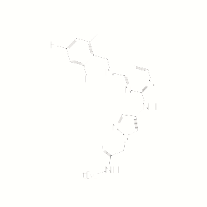 CC(C)(C)NC(=O)Cn1cc(Nc2nccc(NCc3c(F)cc(F)cc3F)n2)cn1